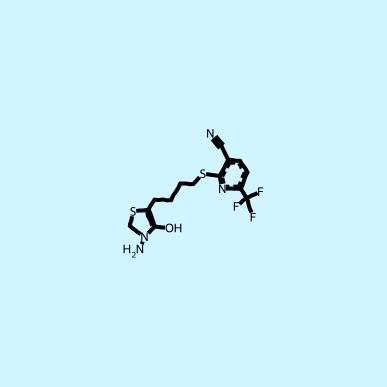 N#Cc1ccc(C(F)(F)F)nc1SCCCCC1=C(O)N(N)CS1